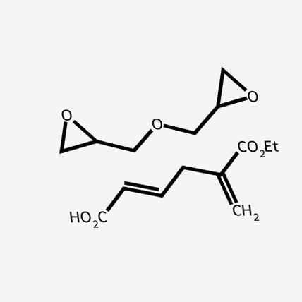 C(OCC1CO1)C1CO1.C=C(CC=CC(=O)O)C(=O)OCC